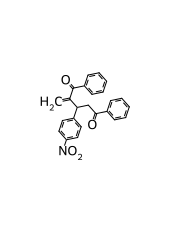 C=C(C(=O)c1ccccc1)C(CC(=O)c1ccccc1)c1ccc([N+](=O)[O-])cc1